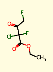 CCOC(=O)C(F)(Cl)C(=O)CF